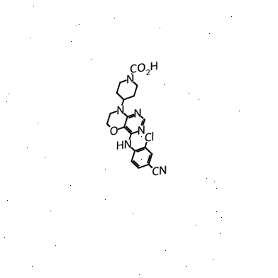 N#Cc1ccc(Nc2ncnc3c2OCCN3C2CCN(C(=O)O)CC2)c(Cl)c1